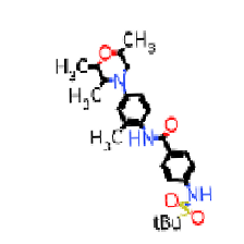 Cc1cc(N2CC(C)OC(C)C2C)ccc1NC(=O)c1ccc(NS(=O)(=O)C(C)(C)C)cc1